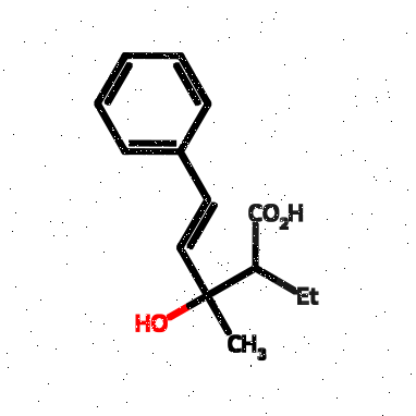 CCC(C(=O)O)C(C)(O)C=Cc1ccccc1